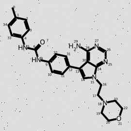 Cc1ccc(NC(=O)Nc2ccc(-c3cn(CCN4CCOCC4)c4ncnc(N)c34)cc2)cc1